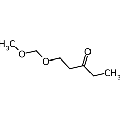 CCC(=O)CCOCOC